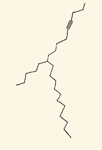 [CH2]CCC#CCCCCC(CCCCC)CCCCCCCCCC[CH2]